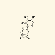 O=c1c(Br)c(Br)cnn1-c1ccc(Cl)c(Cl)c1